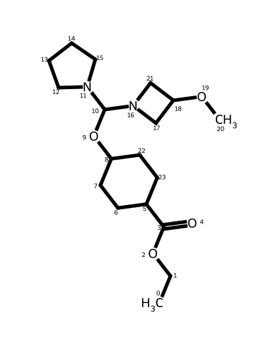 CCOC(=O)C1CCC(OC(N2CCCC2)N2CC(OC)C2)CC1